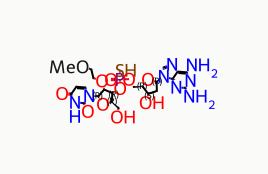 COCCOC1[C@H](n2ccc(=O)[nH]c2=O)O[C@H](CO)[C@H]1OP(=O)(S)OC[C@H]1O[C@@H](n2cnc3c(N)nc(N)nc32)C[C@@H]1O